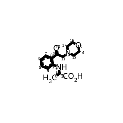 C[C@H](Nc1ccccc1C(=O)CN1CCOCC1)C(=O)O